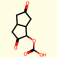 O=C1CC2CC(=O)C(OC(=O)O)C2C1